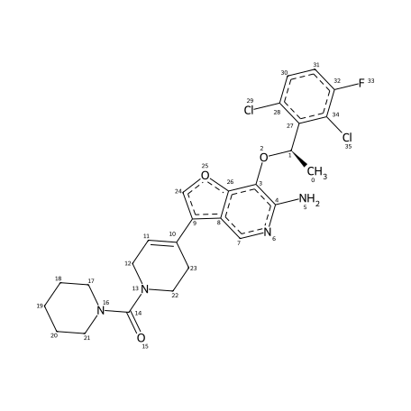 C[C@@H](Oc1c(N)ncc2c(C3=CCN(C(=O)N4CCCCC4)CC3)coc12)c1c(Cl)ccc(F)c1Cl